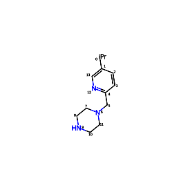 CC(C)c1ccc(CN2CCNCC2)nc1